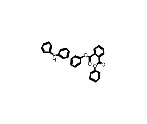 O=C(Oc1ccccc1)c1ccccc1C(=O)Oc1ccccc1.c1ccc(Pc2ccccc2)cc1